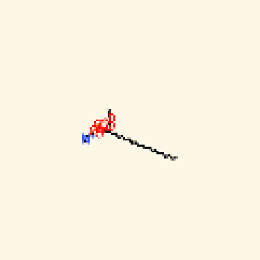 CCCCCCCCCCCCCCCCCCCCC(COP(=O)([O-])OCC[N+](C)(C)C)OC(=O)OCC